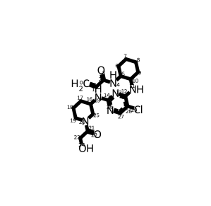 C=CC(=O)NC1CCCCC1Nc1nc(NC2CCCN(C(=O)CO)C2)ncc1Cl